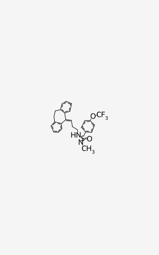 CN=S(=O)(NCCC=C1c2ccccc2CCc2ccccc21)c1ccc(OC(F)(F)F)cc1